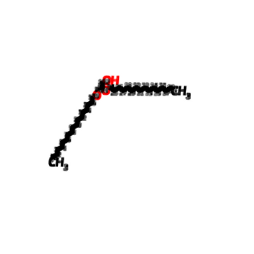 CCCCCCCCCCCCCCCCCCOC[C@H](CO)OCCCCCCCCCCCCCCCC